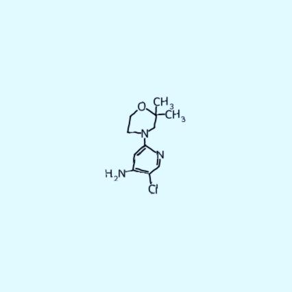 CC1(C)CN(c2cc(N)c(Cl)cn2)CCO1